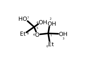 CCC(O)(O)OC(O)(O)CC